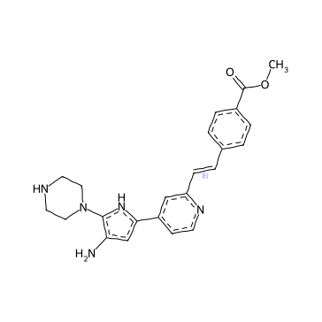 COC(=O)c1ccc(/C=C/c2cc(-c3cc(N)c(N4CCNCC4)[nH]3)ccn2)cc1